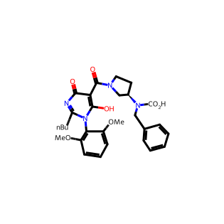 CCCCc1nc(=O)c(C(=O)N2CC[C@@H](N(Cc3ccccc3)C(=O)O)C2)c(O)n1-c1c(OC)cccc1OC